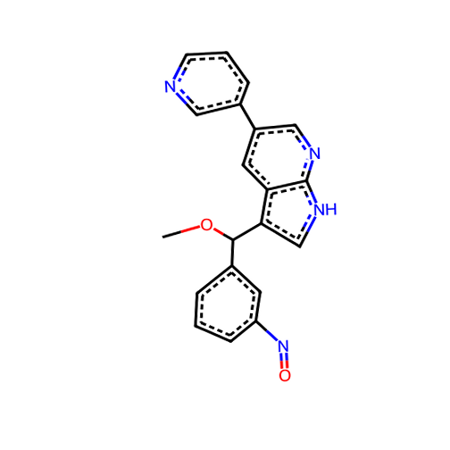 COC(c1cccc(N=O)c1)c1c[nH]c2ncc(-c3cccnc3)cc12